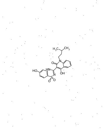 CC(C)CCn1c(=O)c(C2=NS(=O)(=O)c3ccc(O)cc3N2)c(O)c2ccccc21